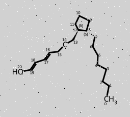 CCCCCCCC[C@H]1CCC[C@@H]1CCCC=CC=CO